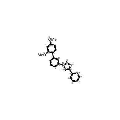 COc1ccc(-c2cccc(-n3nnc(-c4ccccn4)n3)c2)c(OC)c1